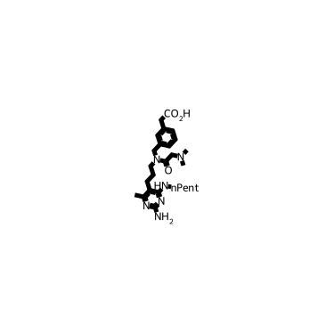 CCCCCNc1nc(N)nc(C)c1CCCN(Cc1cccc(CC(=O)O)c1)C(=O)CN(C)C